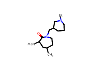 CCN1CCCC(CN2CCC(C)CC(NC)C2=O)C1